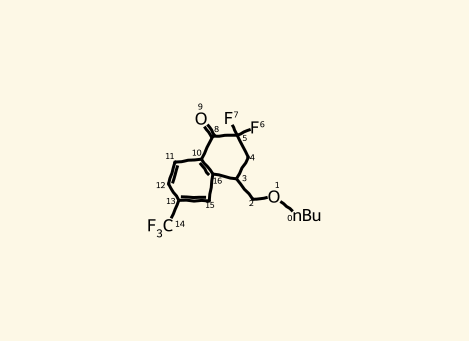 CCCCOCC1CC(F)(F)C(=O)c2ccc(C(F)(F)F)cc21